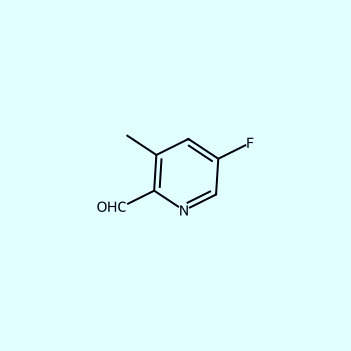 Cc1cc(F)cnc1C=O